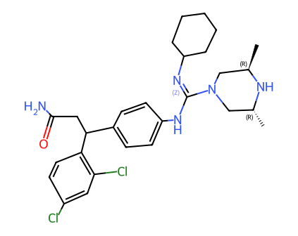 C[C@@H]1CN(/C(=N\C2CCCCC2)Nc2ccc(C(CC(N)=O)c3ccc(Cl)cc3Cl)cc2)C[C@@H](C)N1